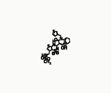 CS(=O)(=O)NCc1csc2c1S(=O)(=O)N=C(C1=C(O)[C@@H]3C4CCC(CC4)C3N(Cc3ccsc3)C1=O)N2